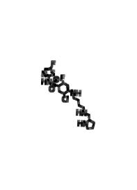 O=S(=O)(Nc1ncc(F)s1)C1CC(Cl)C(NCCCCNC[C@H]2CCCN2)=C[C@@H]1F